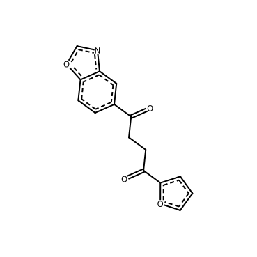 O=C(CCC(=O)c1ccco1)c1ccc2ocnc2c1